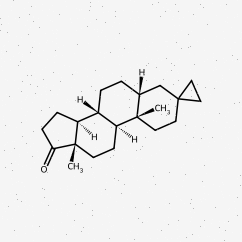 C[C@]12CCC3(CC3)C[C@H]1CC[C@@H]1[C@@H]2CC[C@]2(C)C(=O)CC[C@@H]12